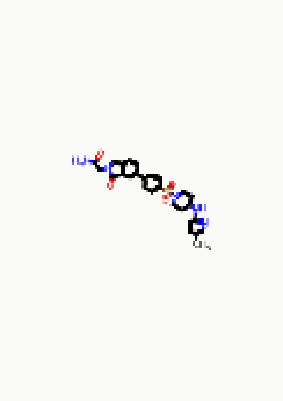 Cc1ccc(NC2CCN(S(=O)(=O)c3ccc(-c4ccc5c(c4)C(=O)N(CC(N)=O)C5)cc3)CC2)nc1